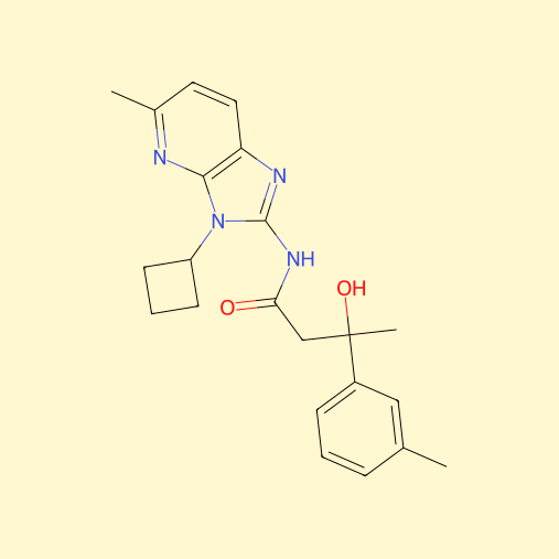 Cc1cccc(C(C)(O)CC(=O)Nc2nc3ccc(C)nc3n2C2CCC2)c1